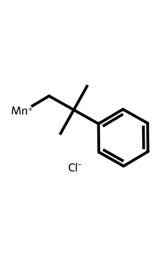 CC(C)([CH2][Mn+])c1ccccc1.[Cl-]